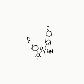 Cc1nc(C(=O)N2CCNCC2Cc2nc(-c3ccc(F)cc3)co2)c(-c2ccc(F)cc2)s1